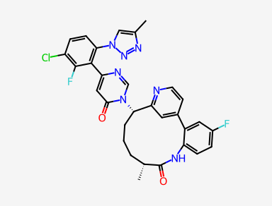 Cc1cn(-c2ccc(Cl)c(F)c2-c2cc(=O)n([C@H]3CCC[C@@H](C)C(=O)Nc4ccc(F)cc4-c4ccnc3c4)cn2)nn1